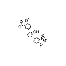 COc1ccc(C2CCC(c3ccc(OC)c([N+](=O)[O-])c3)N2O)cc1[N+](=O)[O-]